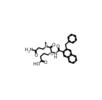 CN(CCC(N)=O)C(=O)[C@H](CCCC(=O)O)NC(=O)c1cc2ccccc2cc1Cc1ccccc1